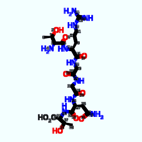 C[C@@H](O)[C@H](N)C(=O)N[C@@H](CCCNC(=N)N)C(=O)NCC(=O)NCC(=O)N[C@@H](CC(N)=O)C(=O)N[C@H](C(=O)O)[C@@H](C)O